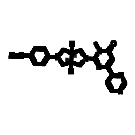 COc1ccc(N2C[C@@H]3CN(c4nc(-c5ccncn5)cc(=O)n4C)C[C@@H]3C2)cc1